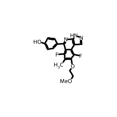 COCCOc1c(C)c(F)c2c(-c3ccc(O)cc3)nc3[nH]ncc3c2c1F